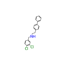 Clc1ccc(CNCCc2ccc(-c3ccccc3)cc2)cc1Cl